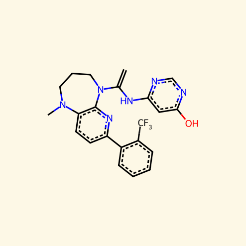 C=C(Nc1cc(O)ncn1)N1CCCN(C)c2ccc(-c3ccccc3C(F)(F)F)nc21